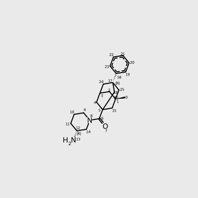 C[C@]12CC3CC(C(=O)N4CCC[C@@H](N)C4)(C1)C[C@@](c1ccccc1)(C3)C2